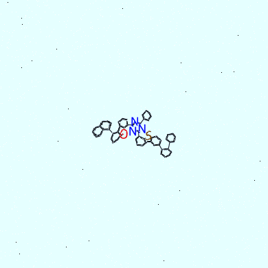 c1ccc(-c2nc(-c3cccc4c3oc3cccc(-c5cccc6ccccc56)c34)nc(-c3cccc4c3sc3ccc(-c5ccccc5-c5ccccc5)cc34)n2)cc1